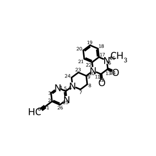 C#Cc1cnc(N2CCC(n3c(=O)c(=O)n(C)c4ccccc43)CC2)nc1